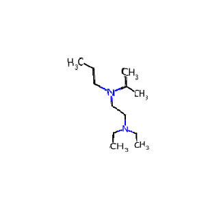 CCCN(CCN(CC)CC)C(C)C